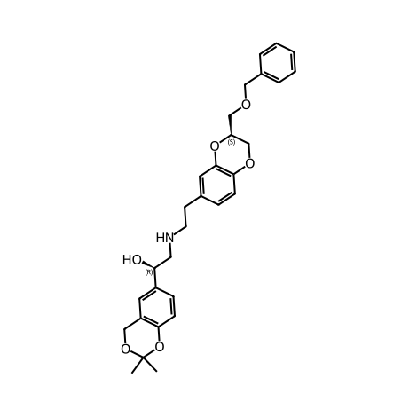 CC1(C)OCc2cc([C@@H](O)CNCCc3ccc4c(c3)O[C@@H](COCc3ccccc3)CO4)ccc2O1